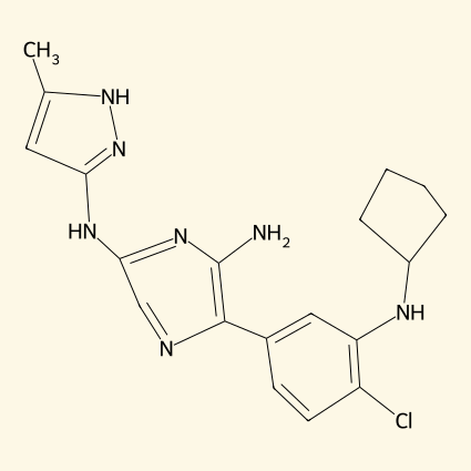 Cc1cc(Nc2cnc(-c3ccc(Cl)c(NC4CCCC4)c3)c(N)n2)n[nH]1